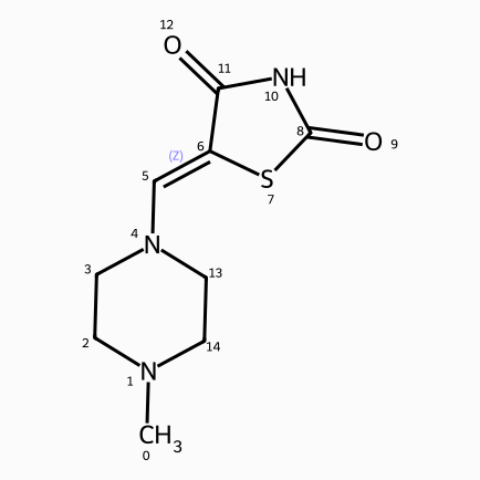 CN1CCN(/C=C2\SC(=O)NC2=O)CC1